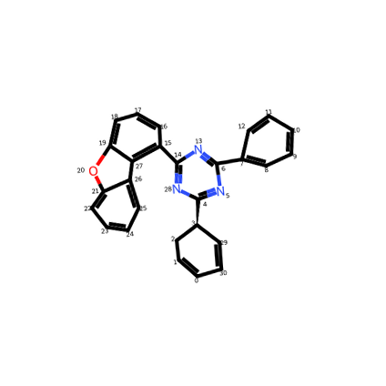 C1=CC[C@@H](c2nc(-c3ccccc3)nc(-c3cccc4oc5ccccc5c34)n2)C=C1